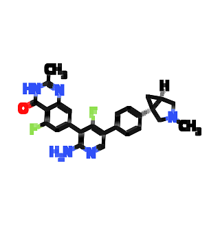 Cc1nc2cc(-c3c(N)ncc(-c4ccc([C@]56C[C@H]5CN(C)C6)cc4)c3F)cc(F)c2c(=O)[nH]1